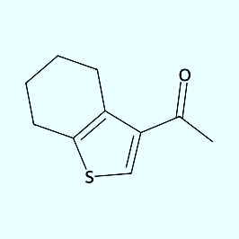 CC(=O)c1csc2c1CCCC2